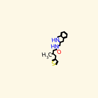 CC(CC(=O)NCC1Cc2ccccc2CN1)Cc1ccsc1